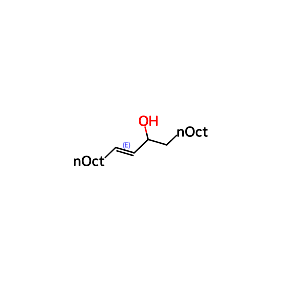 CCCCCCCC/C=C/C(O)CCCCCCCCC